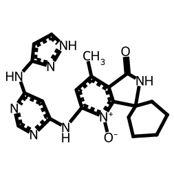 Cc1cc(Nc2cc(Nc3cc[nH]n3)ncn2)[n+]([O-])c2c1C(=O)NC21CCCCC1